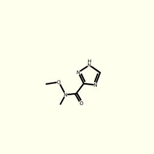 CON(C)C(=O)c1nc[nH]n1